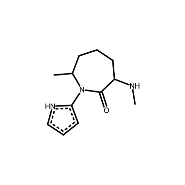 CNC1CCCC(C)N(c2ccc[nH]2)C1=O